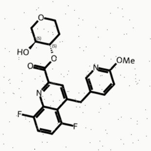 COc1ccc(Cc2cc(C(=O)O[C@H]3CCOC[C@@H]3O)nc3c(F)ccc(F)c23)cn1